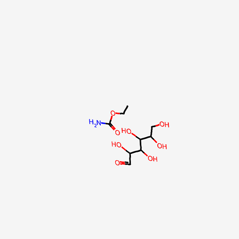 CCOC(N)=O.O=CC(O)C(O)C(O)C(O)CO